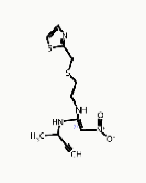 C#CC(C)N/C(=C/[N+](=O)[O-])NCCSCc1nccs1